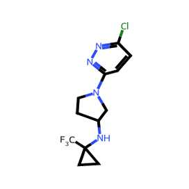 FC(F)(F)C1(NC2CCN(c3ccc(Cl)nn3)C2)CC1